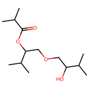 CC(C)C(=O)OC(COCC(O)C(C)C)C(C)C